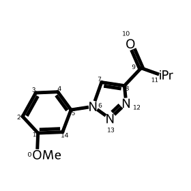 COc1cccc(-n2cc(C(=O)C(C)C)nn2)c1